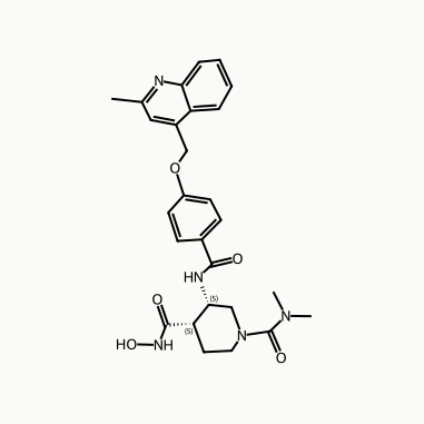 Cc1cc(COc2ccc(C(=O)N[C@@H]3CN(C(=O)N(C)C)CC[C@@H]3C(=O)NO)cc2)c2ccccc2n1